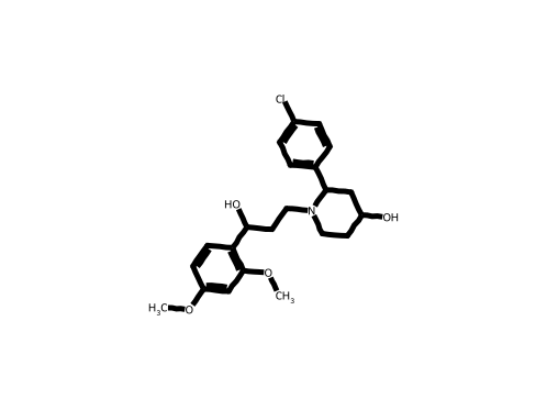 COc1ccc(C(O)CCN2CCC(O)CC2c2ccc(Cl)cc2)c(OC)c1